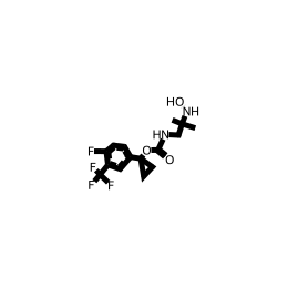 CC(C)(CNC(=O)OC1(c2ccc(F)c(C(F)(F)F)c2)CC1)NO